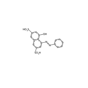 O=S(=O)(O)c1cc(O)c2c(N=Nc3ccccc3)cc(S(=O)(=O)O)cc2c1